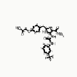 NC(=O)c1nc(Cc2ccc(OCC(=O)O)cc2)[nH]c1NC(=O)Nc1cccc(C(F)(F)F)c1